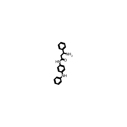 NC(CC(=O)Nc1ccc(Nc2ccccc2)cc1)c1ccccc1